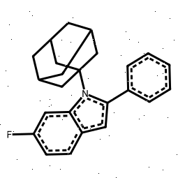 Fc1ccc2cc(-c3ccccc3)n(C34CC5CC(CC(C5)C3)C4)c2c1